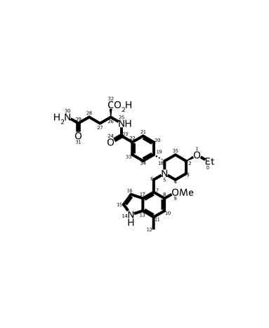 CCO[C@H]1CCN(Cc2c(OC)cc(C)c3[nH]ccc23)[C@H](c2ccc(C(=O)N[C@@H](CCC(N)=O)C(=O)O)cc2)C1